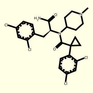 CN1CCC(N(C(=O)C2(c3ccc(Cl)cc3Cl)CC2)[C@@H](Cc2ccc(Cl)cc2Cl)C(N)=O)CC1